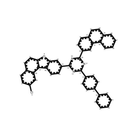 Clc1ccc2ccc3oc4cc(-c5nc(-c6ccc(-c7ccccc7)cc6)nc(-c6ccc7ccc8ccccc8c7c6)n5)ccc4c3c2c1